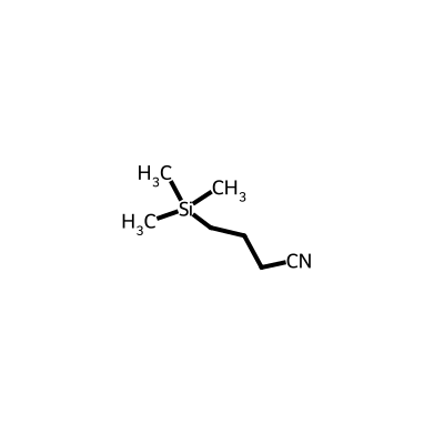 C[Si](C)(C)CCCC#N